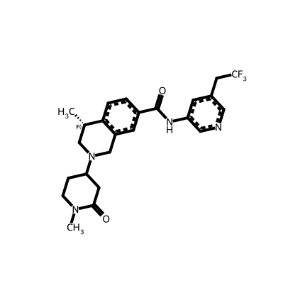 C[C@H]1CN(C2CCN(C)C(=O)C2)Cc2cc(C(=O)Nc3cncc(CC(F)(F)F)c3)ccc21